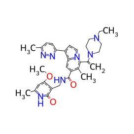 C=C(c1c(C)c(C(=O)NCc2c(OC)cc(C)[nH]c2=O)cc2c(-c3ccc(C)nn3)ccn12)N1CCN(CC)CC1